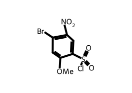 COc1cc(Br)c([N+](=O)[O-])cc1S(=O)(=O)Cl